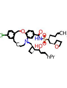 C=CCC[C@@H](C[C@H]1CCCO1)S(=O)(=O)NC(=O)c1ccc2c(c1)N(C[C@@H]1CC[C@H]1[C@@H](O)/C=C/CCC)CCCCc1cc(Cl)ccc1CO2